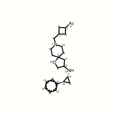 CC(=O)C1CC(CN2CCC3(CC2)CC(N[C@@H]2C[C@H]2c2ccccc2)CO3)C1